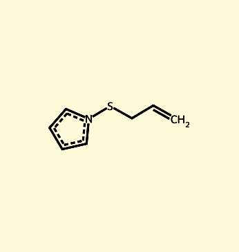 C=CCSn1cccc1